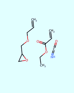 C=CC(=O)OCC.C=CCOCC1CO1.N=C=O